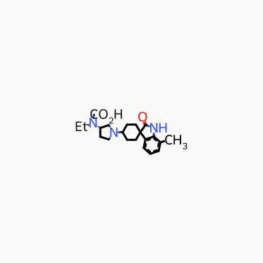 CCN(C(=O)O)[C@H]1CCN(C2CCC3(CC2)C(=O)Nc2c(C)cccc23)C1